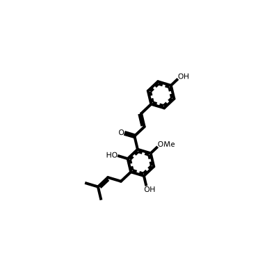 COc1cc(O)c(CC=C(C)C)c(O)c1C(=O)C=Cc1ccc(O)cc1